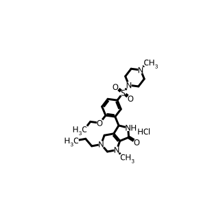 CCCN1CC2=C(C(=O)NC2c2cc(S(=O)(=O)N3CCN(C)CC3)ccc2OCC)N(C)C1.Cl